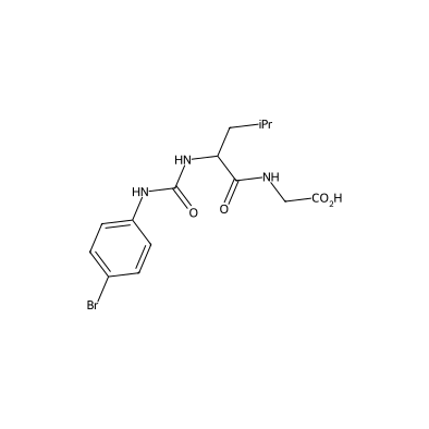 CC(C)CC(NC(=O)Nc1ccc(Br)cc1)C(=O)NCC(=O)O